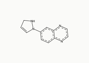 C1=CN(c2ccc3nccnc3c2)NC1